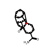 Cc1cc2ccc1-c1c(C=O)c-2cc2cc(C(N)=O)ccc12